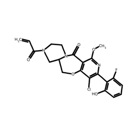 C=CC(=O)N1CCN2C(=O)c3c(OC)nc(-c4c(O)cccc4F)c(Cl)c3OCC2C1